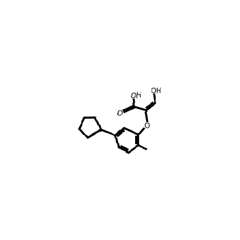 Cc1ccc(C2CCCC2)cc1O/C(=C/O)C(=O)O